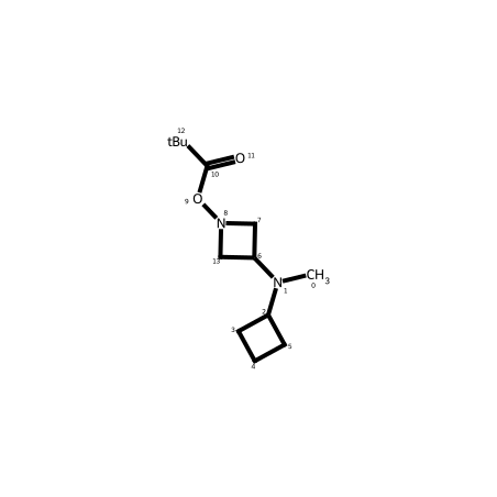 CN(C1CCC1)C1CN(OC(=O)C(C)(C)C)C1